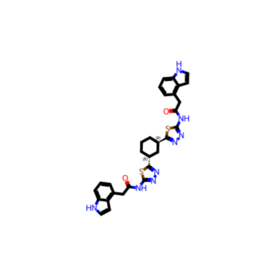 O=C(Cc1cccc2[nH]ccc12)Nc1nnc([C@@H]2CCC[C@@H](c3nnc(NC(=O)Cc4cccc5[nH]ccc45)s3)C2)s1